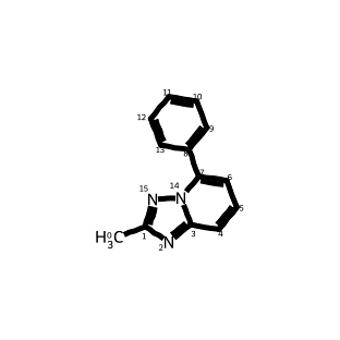 Cc1nc2cccc(-c3ccccc3)n2n1